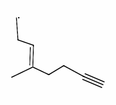 C#CCCC(C)=CC[CH2]